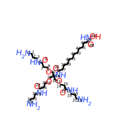 NCCCNC(=O)CCOCC(COCCC(=O)NCCCN)(COCCC(=O)NCCCN)NC(=O)CCCCCCCCCCC(=O)NO